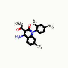 COC(=O)c1c(N)c2ccc(C(F)(F)F)cc2n(-c2ccc([N+](=O)[O-])cc2C)c1=O